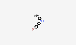 CCCc1ccc(Nc2ccc(-c3ccc(Br)cc3)cc2)cc1